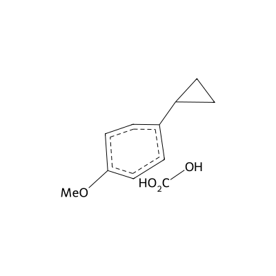 COc1ccc(C2CC2)cc1.O=C(O)O